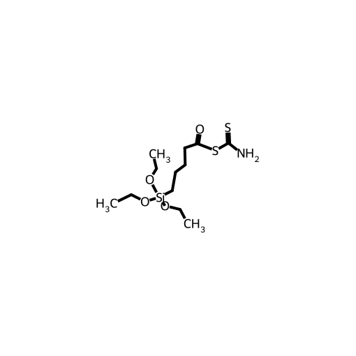 CCO[Si](CCCCC(=O)SC(N)=S)(OCC)OCC